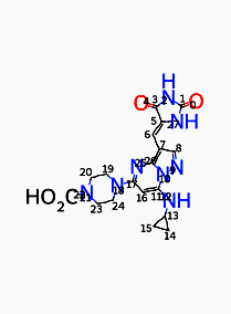 O=C1NC(=O)C(=Cc2cnn3c(NC4CC4)cc(N4CCN(C(=O)O)CC4)nc23)N1